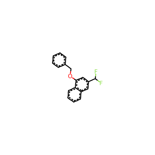 FC(F)c1cc(OCc2ccccc2)c2ccccc2c1